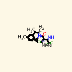 C=C(c1cccc(C)c1)C(C)N(C(=O)/C(C(=N)C(F)F)=C(\F)NC)C1CC1